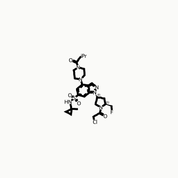 CC(C)C(=O)N1CCN(c2cc(S(=O)(=O)NC3(C)CC3)cc3c2cnn3[C@@H]2C[C@@H](CF)N(C(=O)CCl)C2)CC1